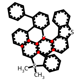 CS1(C)c2ccccc2-c2c(N(c3cccc(-c4ccccc4)c3-c3ccccc3-c3ccccc3)c3cccc4sc5ccccc5c34)cccc21